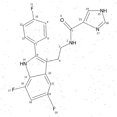 O=C(NCCc1c(-c2ccc(F)cc2)[nH]c2c(F)cc(F)cc12)c1c[nH]cn1